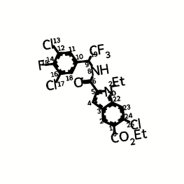 CCOC(=O)c1cc2cc(C(=O)NC(c3cc(Cl)c(F)c(Cl)c3)C(F)(F)F)n(CC)c2cc1Cl